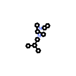 c1ccc(-c2cc(-c3ccccc3)cc(-c3ccc(-n4c5ccccc5c5c4ccc4c6ccccc6n(-c6ccc7ccccc7c6)c45)cc3)c2)cc1